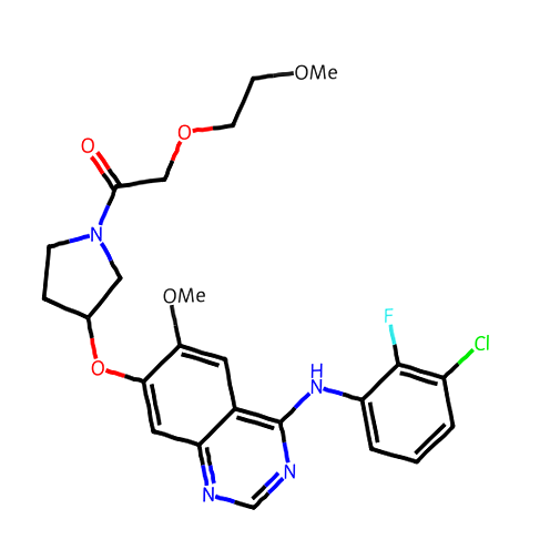 COCCOCC(=O)N1CCC(Oc2cc3ncnc(Nc4cccc(Cl)c4F)c3cc2OC)C1